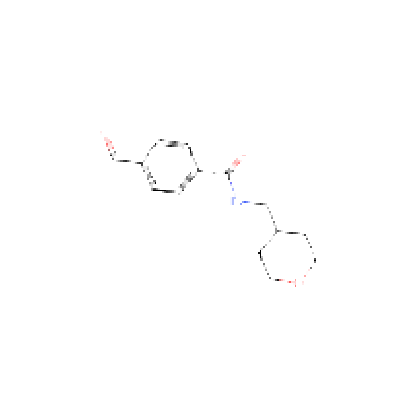 O=Cc1ccc(C(=O)NCC2CCOCC2)cc1